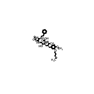 COCCCOc1cc(C[C@@H](C[C@H](NC(=O)O)[C@@H](O)CNC2=NS(=O)(=O)N=C2NCCc2ccccc2)C(C)C)ccc1OC